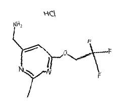 Cc1nc(CN)cc(OCC(F)(F)F)n1.Cl